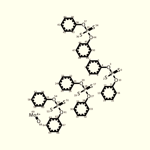 S=P([S-])(Oc1ccccc1)Oc1ccccc1.S=P([S-])(Oc1ccccc1)Oc1ccccc1.S=P([S-])(Oc1ccccc1)Oc1ccccc1.S=P([S-])(Oc1ccccc1)Oc1ccccc1.[O]=[Mo+4]